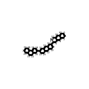 c1ccc2cc3cc(-c4ccc5cc6ccc(-c7ccc8c(ccc9ccccc98)c7)cc6cc5c4)ncc3cc2c1